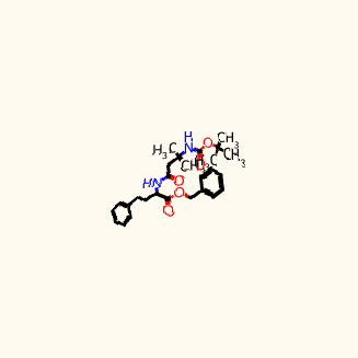 CC(C)(CC(=O)NC(CCc1ccccc1)C(=O)OCc1ccccc1)NC(=O)OC(C)(C)C